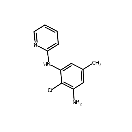 Cc1cc(N)c(Cl)c(Nc2ccccn2)c1